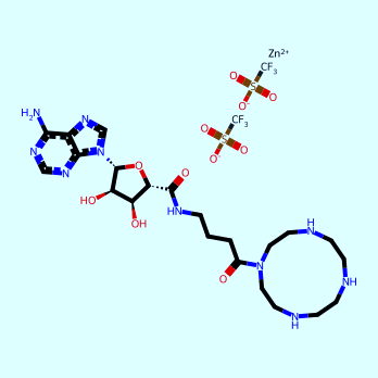 Nc1ncnc2c1ncn2[C@@H]1O[C@H](C(=O)NCCCC(=O)N2CCNCCNCCNCC2)[C@@H](O)[C@H]1O.O=S(=O)([O-])C(F)(F)F.O=S(=O)([O-])C(F)(F)F.[Zn+2]